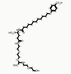 O=CC(NCCOCCO)OCCOCCNC(=O)CC[C@H](NC(=O)CCCCCCCCCCCOc1ccc(C(=O)O)cc1)C(=O)O